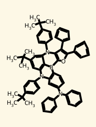 CC(C)(C)c1ccc(N2c3cc(N(c4ccccc4)c4ccccc4)ccc3B3c4oc(-c5ccccc5)c(-c5ccccc5)c4N(c4ccc(C(C)(C)C)cc4)c4cc(C(C)(C)C)cc2c43)cc1